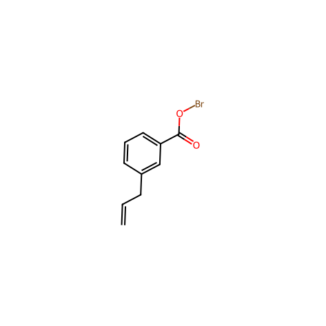 C=CCc1cccc(C(=O)OBr)c1